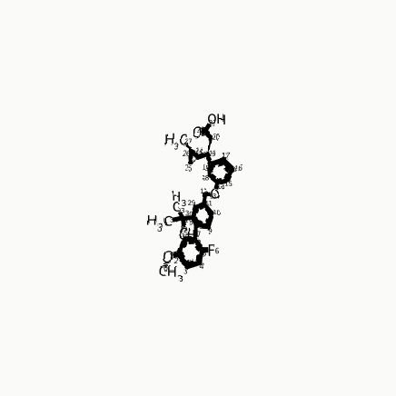 COc1ccc(F)c(-c2ccc(COc3cccc([C@H](CC(=O)O)[C@@H]4C[C@H]4C)c3)cc2C(C)(C)C)c1